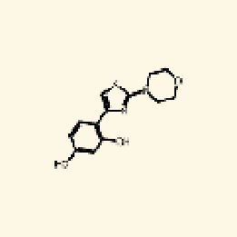 Oc1ccc(-c2csc(N3CCOCC3)n2)c(O)c1